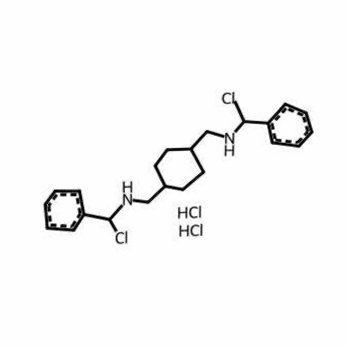 Cl.Cl.ClC(NCC1CCC(CNC(Cl)c2ccccc2)CC1)c1ccccc1